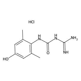 Cc1cc(O)cc(C)c1NC(=O)NC(=N)N.Cl